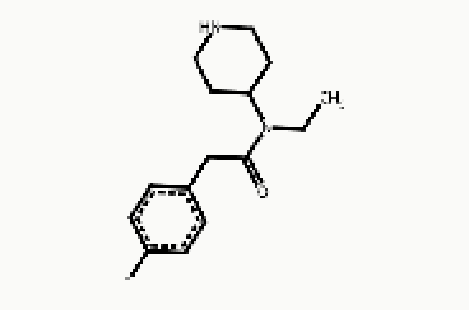 CCN(C(=O)Cc1ccc(F)cc1)C1CCNCC1